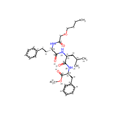 CCCCOCC(=O)N[C@@H](CCc1ccccc1)C(=O)N[C@@H](CC(C)C)C(=O)N[C@@H](Cc1ccccc1)C(=O)OC